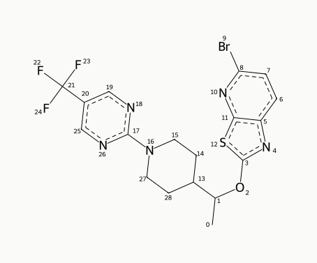 CC(Oc1nc2ccc(Br)nc2s1)C1CCN(c2ncc(C(F)(F)F)cn2)CC1